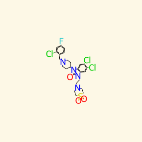 O=c1n(CCN2CCS(=O)(=O)CC2)c2cc(Cl)c(Cl)cc2n1C1CCN(Cc2ccc(F)cc2Cl)CC1